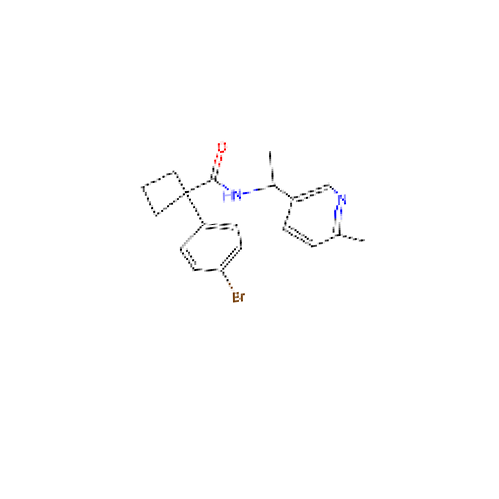 Cc1ccc(C(C)NC(=O)C2(c3ccc(Br)cc3)CCC2)cn1